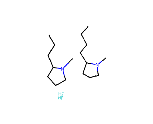 CCCC1CCCN1C.CCCCC1CCCN1C.F.F